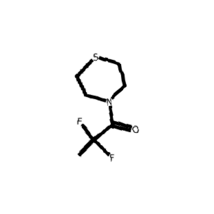 CC(F)(F)C(=O)N1CCSCC1